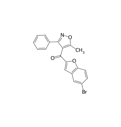 Cc1onc(-c2ccccc2)c1C(=O)c1cc2cc(Br)ccc2o1